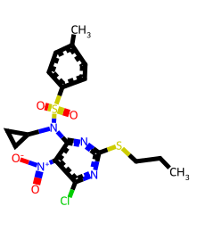 CCCSc1nc(Cl)c([N+](=O)[O-])c(N(C2CC2)S(=O)(=O)c2ccc(C)cc2)n1